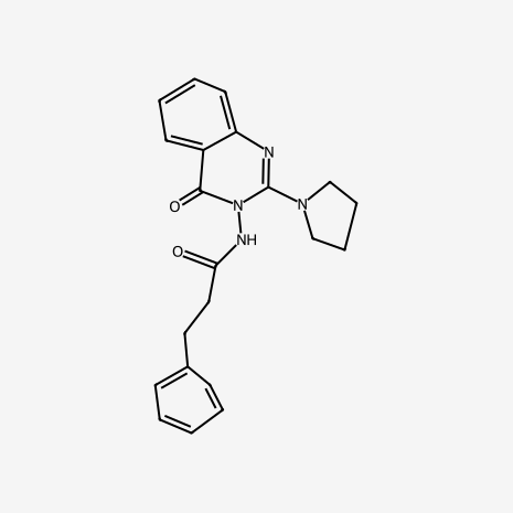 O=C(CCc1ccccc1)Nn1c(N2CCCC2)nc2ccccc2c1=O